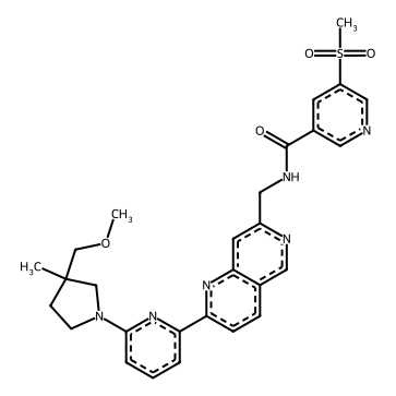 COCC1(C)CCN(c2cccc(-c3ccc4cnc(CNC(=O)c5cncc(S(C)(=O)=O)c5)cc4n3)n2)C1